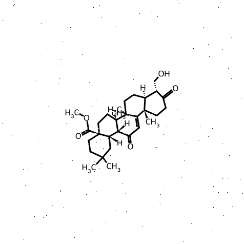 COC(=O)[C@]12CCC(C)(C)C[C@H]1[C@H]1C(=O)C=C3[C@@]4(C)CCC(=O)[C@@H](CO)[C@@H]4CC[C@@]3(C)[C@]1(C)CC2